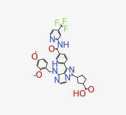 COc1ccc(CNc2nccn3c(C4CCC(C(=O)O)C4)nc(-c4ccc(C(=O)Nc5cc(C(F)(F)F)ccn5)cc4)c23)c(OC)c1